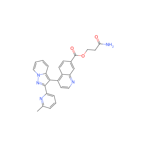 Cc1cccc(-c2nn3ccccc3c2-c2ccnc3cc(C(=O)OCCC(N)=O)ccc23)n1